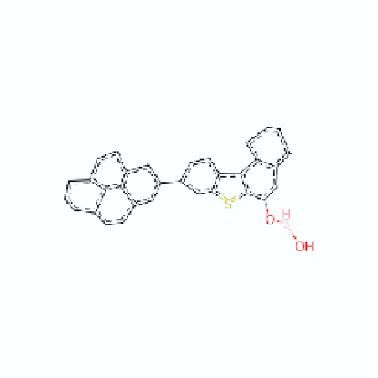 OBOc1cc2ccccc2c2c1sc1cc(-c3cc4ccc5cccc6ccc(c3)c4c56)ccc12